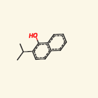 CC(C)c1ccc2ccccc2c1O